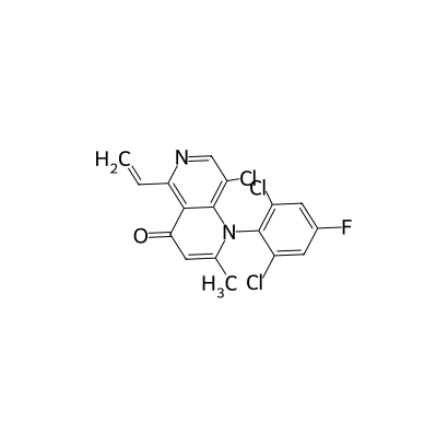 C=Cc1ncc(Cl)c2c1c(=O)cc(C)n2-c1c(Cl)cc(F)cc1Cl